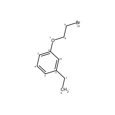 [CH2]Cc1cccc(OCCBr)c1